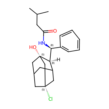 CC(C)CC(=O)N[C@@H](c1ccccc1)[C@H]1C2CC3C[C@](Cl)(C2)C[C@@]1(O)C3